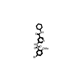 COc1ccc(Br)cc1S(=O)(=O)Nc1cncc(C(=O)NC2CCCCC2)c1